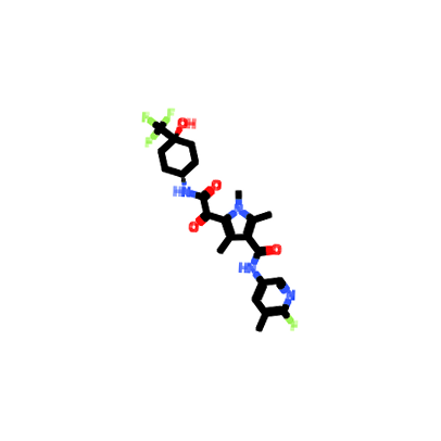 Cc1cc(NC(=O)c2c(C)c(C(=O)C(=O)N[C@H]3CC[C@@](O)(C(F)(F)F)CC3)n(C)c2C)cnc1F